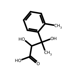 Cc1ccccc1C(C)(O)C(O)C(=O)O